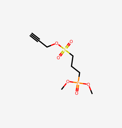 C#CCOS(=O)(=O)CCCP(=O)(OC)OC